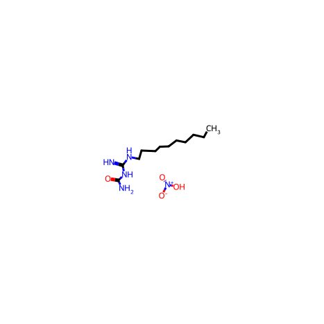 CCCCCCCCCCNC(=N)NC(N)=O.O=[N+]([O-])O